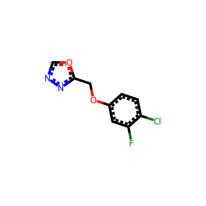 Fc1cc(OCc2nn[c]o2)ccc1Cl